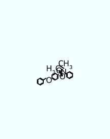 CC(C)CN(c1ccccc1)S(=O)(=O)c1ccc(OCc2ccccc2)cc1